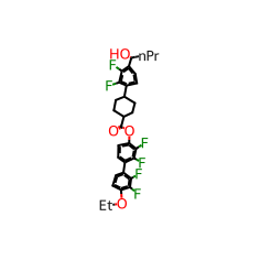 CCCC(O)c1ccc(C2CCC(C(=O)Oc3ccc(-c4ccc(OCC)c(F)c4F)c(F)c3F)CC2)c(F)c1F